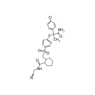 CC(Sc1ccc(S(=O)(=O)CC2CCCCC2C(=O)NCC#N)cc1)(C(N)=O)c1ccc(Cl)cc1